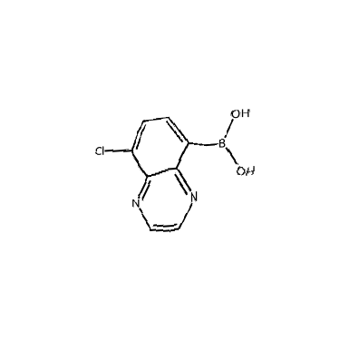 OB(O)c1ccc(Cl)c2nccnc12